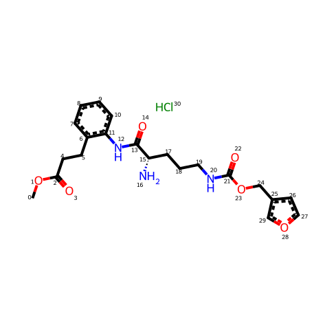 COC(=O)CCc1ccccc1NC(=O)[C@@H](N)CCCNC(=O)OCc1ccoc1.Cl